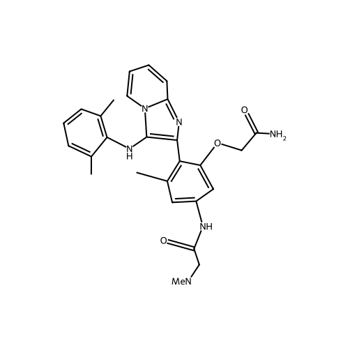 CNCC(=O)Nc1cc(C)c(-c2nc3ccccn3c2Nc2c(C)cccc2C)c(OCC(N)=O)c1